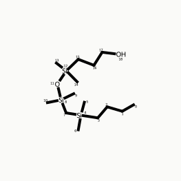 CCCC[Si](C)(C)C[Si](C)(C)O[Si](C)(C)CCCO